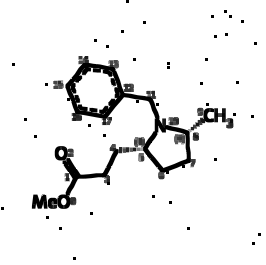 COC(=O)CC[C@H]1CC[C@@H](C)N1Cc1ccccc1